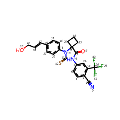 N#Cc1ccc(NC(=O)C2(N(C=S)c3ccc(/C=C/CO)cc3)CCC2)cc1C(F)(F)F